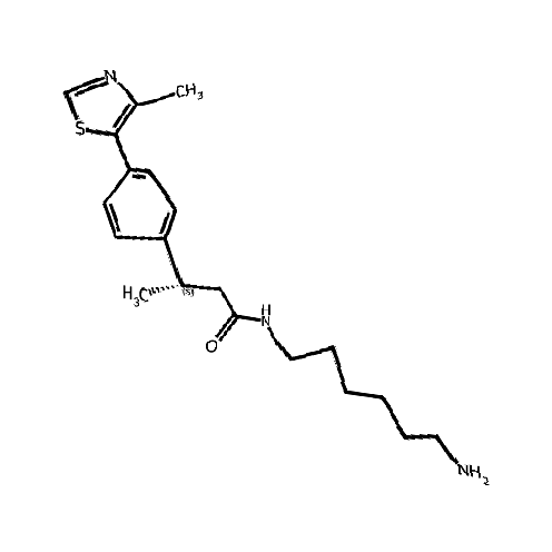 Cc1ncsc1-c1ccc([C@@H](C)CC(=O)NCCCCCCN)cc1